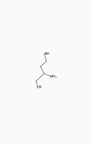 CCCCCCC(N)CC#N